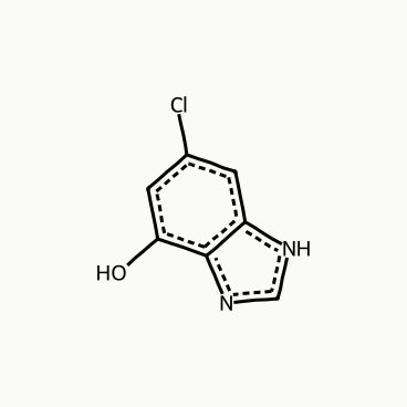 Oc1cc(Cl)cc2[nH]cnc12